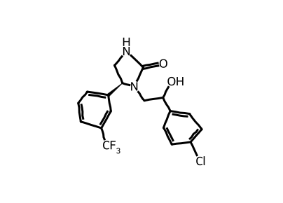 O=C1NC[C@H](c2cccc(C(F)(F)F)c2)N1CC(O)c1ccc(Cl)cc1